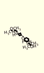 CC(=O)N[C@@H](C)CO[C@H]1C[C@H](COC2CC=c3nc(C(C)(C)O)sc3=C2F)C1